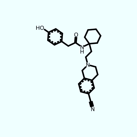 N#Cc1ccc2c(c1)CCN(CCC1(NC(=O)Cc3ccc(O)cc3)CCCCC1)C2